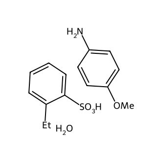 CCc1ccccc1S(=O)(=O)O.COc1ccc(N)cc1.O